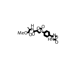 COC(=O)[C@@H](C)NC(=O)C1CN(c2ccc(-c3noc(=O)[nH]3)cc2)C(=O)O1